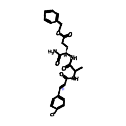 CC(NC(=O)/C=C/c1ccc(Cl)cc1)C(=O)N[C@@H](CCC(=O)OCc1ccccc1)C(N)=O